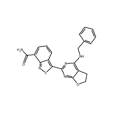 NC(=O)c1cccc2c(-c3nc(NCc4ccccc4)c4c(n3)OCC4)snc12